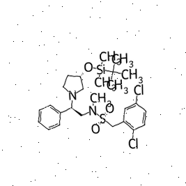 CN(C[C@@H](c1ccccc1)N1CC[C@H](O[Si](C)(C)C(C)(C)C)C1)S(=O)(=O)Cc1cc(Cl)ccc1Cl